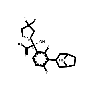 O=C(O)[C@](O)(c1ccc(F)c(C2CC3CCC(C2)N3)c1F)[C@@H]1CCC(F)(F)C1